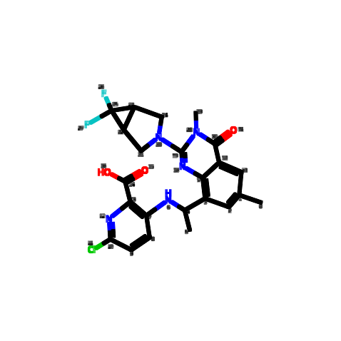 Cc1cc(C(C)Nc2ccc(Cl)nc2C(=O)O)c2nc(N3CC4C(C3)C4(F)F)n(C)c(=O)c2c1